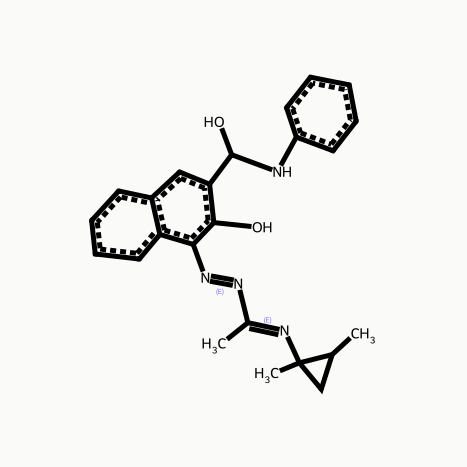 CC(/N=N/c1c(O)c(C(O)Nc2ccccc2)cc2ccccc12)=N\C1(C)CC1C